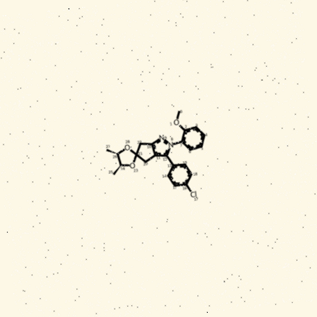 COc1ccccc1-n1nc2c(c1-c1ccc(Cl)cc1)CC1(C2)O[C@@H](C)[C@@H](C)O1